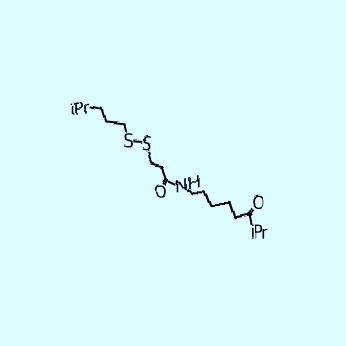 CC(C)CCCSSCCC(=O)NCCCCCC(=O)C(C)C